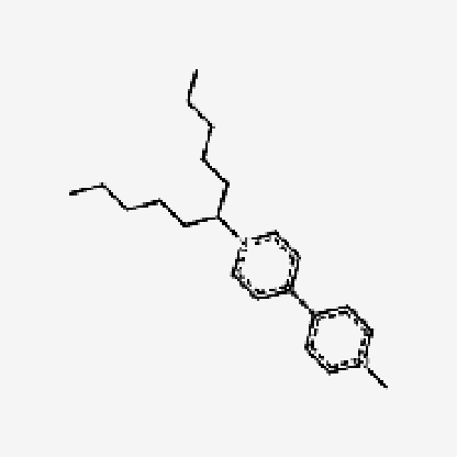 CCCCCC(CCCCC)[n+]1ccc(-c2cc[n+](C)cc2)cc1